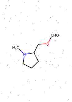 CN1CCCC1CO[C]=O